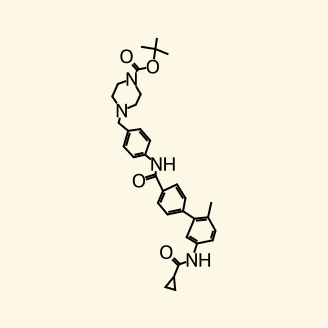 Cc1ccc(NC(=O)C2CC2)cc1-c1ccc(C(=O)Nc2ccc(CN3CCN(C(=O)OC(C)(C)C)CC3)cc2)cc1